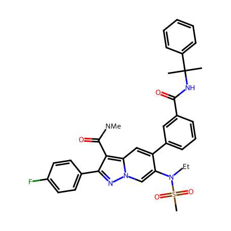 CCN(c1cn2nc(-c3ccc(F)cc3)c(C(=O)NC)c2cc1-c1cccc(C(=O)NC(C)(C)c2ccccc2)c1)S(C)(=O)=O